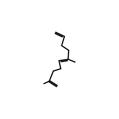 C=CCCC(C)=CCCC(=C)C